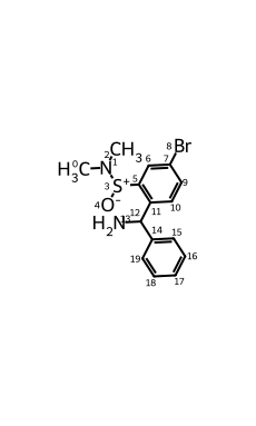 CN(C)[S+]([O-])c1cc(Br)ccc1C(N)c1ccccc1